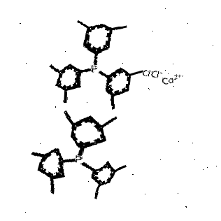 Cc1cc(C)cc(P(c2cc(C)cc(C)c2)c2cc(C)cc(C)c2)c1.Cc1cc(C)cc(P(c2cc(C)cc(C)c2)c2cc(C)cc(C)c2)c1.[Cl-].[Cl-].[Co+2]